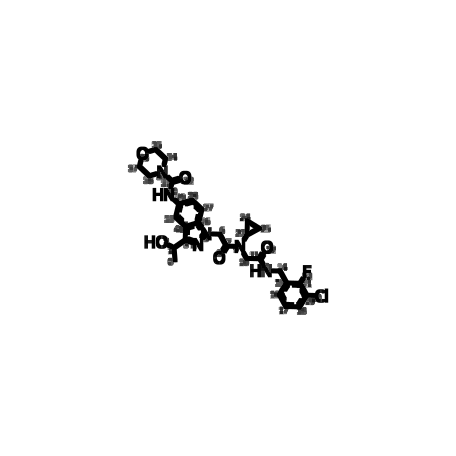 CC(O)c1nn(CC(=O)N(CC(=O)NCc2cccc(Cl)c2F)C2CC2)c2ccc(NC(=O)N3CCOCC3)cc12